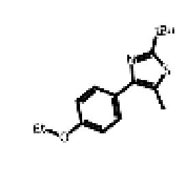 CCOc1ccc(-c2nc(C(C)(C)C)sc2C)cc1